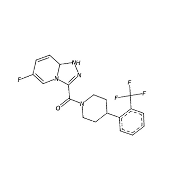 O=C(C1=NNC2C=CC(F)=CN12)N1CCC(c2ccccc2C(F)(F)F)CC1